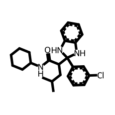 CC(C)CC(C(=O)NC1CCCCC1)C1(c2cccc(Cl)c2)Nc2ccccc2N1